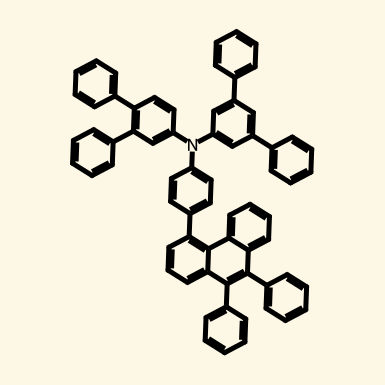 c1ccc(-c2cc(-c3ccccc3)cc(N(c3ccc(-c4cccc5c(-c6ccccc6)c(-c6ccccc6)c6ccccc6c45)cc3)c3ccc(-c4ccccc4)c(-c4ccccc4)c3)c2)cc1